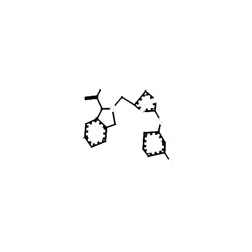 O=CC(=O)C1c2ccccc2CN1Cc1csc(Nc2cccc(Br)c2)n1